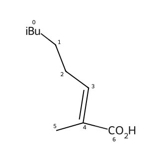 CCC(C)CCC=C(C)C(=O)O